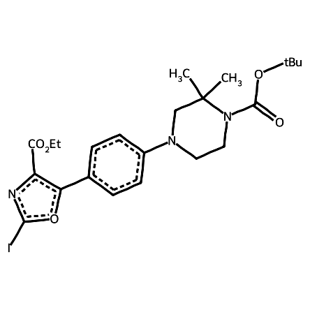 CCOC(=O)c1nc(I)oc1-c1ccc(N2CCN(C(=O)OC(C)(C)C)C(C)(C)C2)cc1